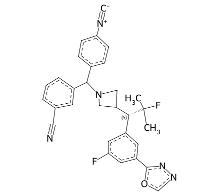 [C-]#[N+]c1ccc(C(c2cccc(C#N)c2)N2CC([C@@H](c3cc(F)cc(-c4nnco4)c3)C(C)(C)F)C2)cc1